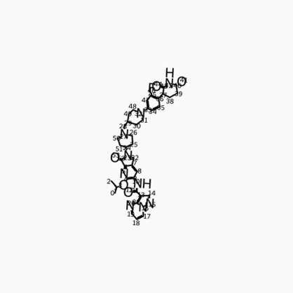 CC(C)Oc1nc2c(cc1NC(=O)c1cnn3cccnc13)CN(C1CCN(CC3CCN(c4ccc(C5CCC(=O)NC5=O)c(F)c4)CC3)CC1)C2=O